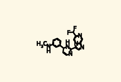 CNc1cccc(C2C=CN=C(c3cnc4cnc(C(F)F)cn34)N2)c1